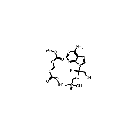 CC(C)OC(=O)OCOC(=O)OC(C)C.CCC(CO)(OCP(=O)(O)O)n1cnc2c(N)ncnc21